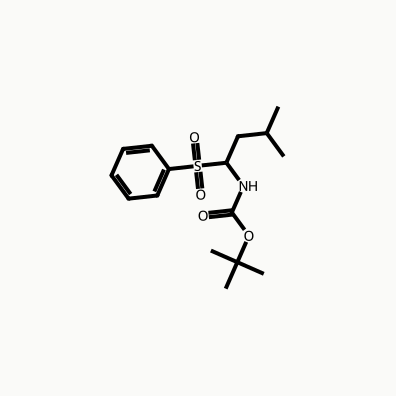 CC(C)CC(NC(=O)OC(C)(C)C)S(=O)(=O)c1ccccc1